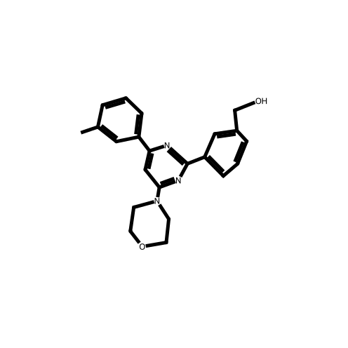 Cc1cccc(-c2cc(N3CCOCC3)nc(-c3cccc(CO)c3)n2)c1